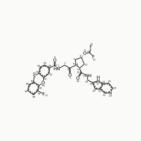 O=C(NCC(=O)N1C[C@H](OC(F)F)C[C@H]1C(=O)NCc1cc2cnccc2[nH]1)c1ccc2c(c1)Oc1c(F)cccc1S2